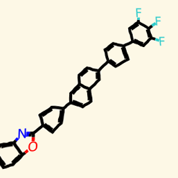 Fc1cc(-c2ccc(-c3ccc4cc(-c5ccc(-c6nc7ccccc7o6)cc5)ccc4c3)cc2)cc(F)c1F